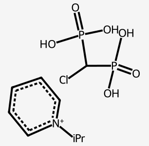 CC(C)[n+]1ccccc1.O=P(O)(O)C(Cl)P(=O)(O)O